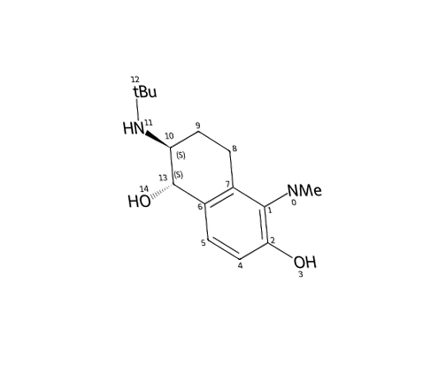 CNc1c(O)ccc2c1CC[C@H](NC(C)(C)C)[C@H]2O